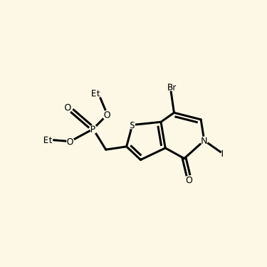 CCOP(=O)(Cc1cc2c(=O)n(I)cc(Br)c2s1)OCC